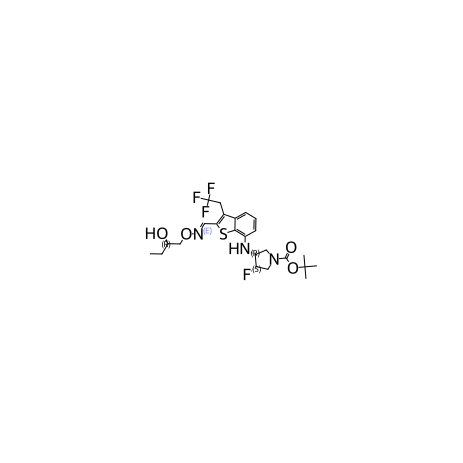 CC[C@@H](O)CO/N=C/c1sc2c(N[C@@H]3CN(C(=O)OC(C)(C)C)C[C@@H]3F)cccc2c1CC(F)(F)F